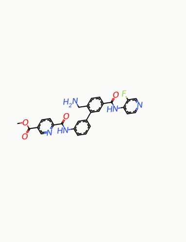 COC(=O)c1ccc(C(=O)Nc2cccc(-c3cc(C(=O)Nc4ccncc4F)ccc3CN)c2)nc1